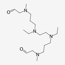 CCN(CCCN(C)CC=O)CCN(CC)CCCN(C)CC=O